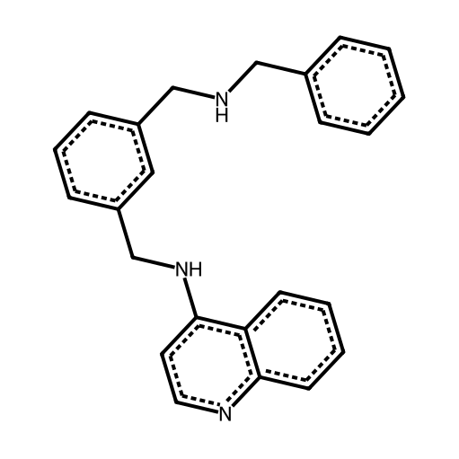 c1ccc(CNCc2cccc(CNc3ccnc4ccccc34)c2)cc1